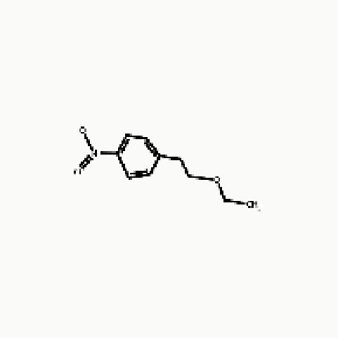 [CH2]COCCc1ccc([N+](=O)[O-])cc1